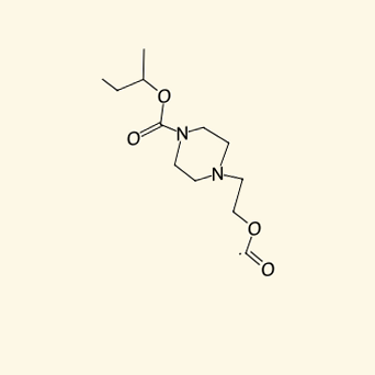 CCC(C)OC(=O)N1CCN(CCO[C]=O)CC1